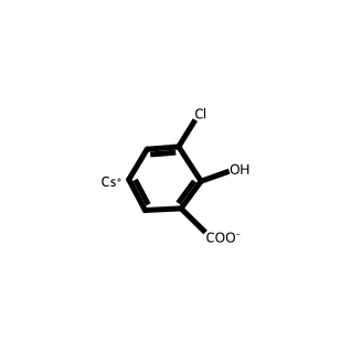 O=C([O-])c1cccc(Cl)c1O.[Cs+]